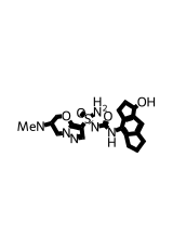 CNC1COc2c(S(N)(=O)=NC(=O)Nc3c4c(cc5c3CCC5O)CCC4)cnn2C1